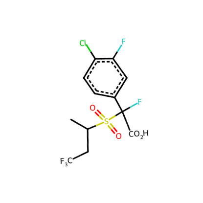 CC(CC(F)(F)F)S(=O)(=O)C(F)(C(=O)O)c1ccc(Cl)c(F)c1